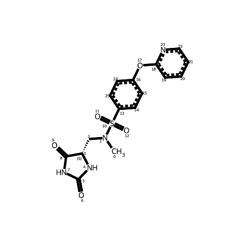 CN(C[C@@H]1NC(=O)NC1=O)S(=O)(=O)c1ccc(Oc2ccccn2)cc1